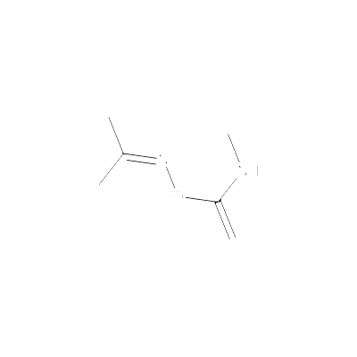 C=C(NC)ON=C(C)C